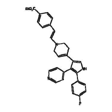 CCOC(=O)c1ccc(C=CN2CC=C(c3c[nH]c(-c4ccc(F)cc4)c3-c3ccncc3)CC2)cc1